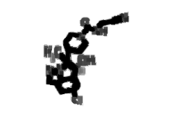 CC1(C2CCN(C(=O)NCC#N)CC2)[C@H](O)c2cc(Cl)cc3cnn1c23